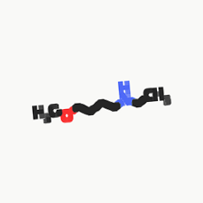 CCNCCCCOC